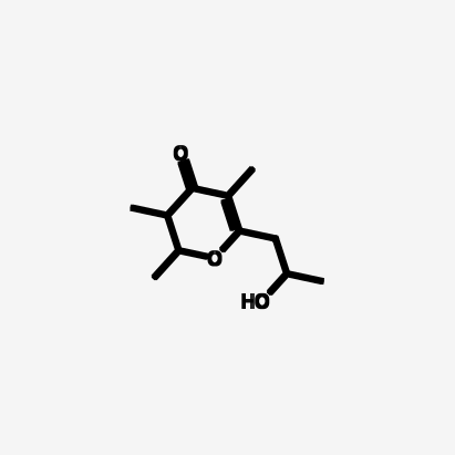 CC1=C(CC(C)O)OC(C)C(C)C1=O